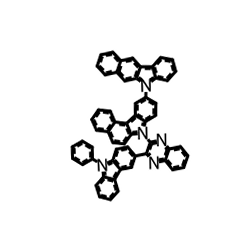 c1ccc(-n2c3ccccc3c3cc(-c4nc5ccccc5nc4-n4c5ccc(-n6c7ccccc7c7cc8ccccc8cc76)cc5c5c6ccccc6ccc54)ccc32)cc1